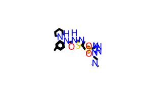 Cc1ccc(NC(=O)Nc2ncc(CS(=O)(=O)c3nnnn3CCN(C)C)s2)c(N2CCCCC2)c1